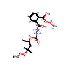 CC(CC(C)(C)OOC(C)(C)C)OC(=O)NNC(=O)c1ccccc1C(=O)OOC(C)(C)C